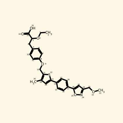 CCOC(Cc1ccc(OCc2sc(-c3ccc(-c4cc(COC)no4)cc3)cc2C)cc1)C(=O)O